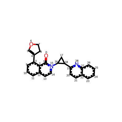 O=c1c2c(C3=COCC3)cccc2ccn1C1CC1c1ccc2ccccc2n1